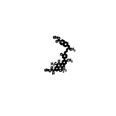 Cc1nc(N[C@H](C)c2cc(NC(=O)OC(C)(C)C)cc(C(F)(F)F)c2)c2cc(-c3ccn(CCCN(C)CC4CCC5(CC4)CCN(C(=O)OC(C)(C)C)CC5)c(=O)c3)c(C)cc2n1